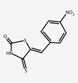 O=C1NC(=S)C(=Cc2ccc([N+](=O)[O-])cc2)S1